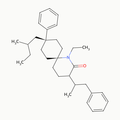 CCC(C)C[C@]1(c2ccccc2)CC[C@@]2(CCC(C(C)Cc3ccccc3)C(=O)N2CC)CC1